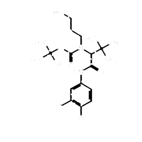 CC(C)(C)OC(=O)N(CCCO)C(C(=O)Nc1ccc(Cl)c(Cl)c1)C(C)(C)C